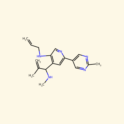 C=CCNc1cnc(-c2cnc(C)nc2)cc1C(NC)C(=C)C